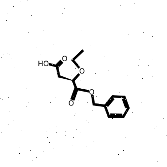 CCO[C@H](CC(=O)O)C(=O)OCc1ccccc1